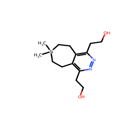 C[Si]1(C)CCc2c(CCO)nnc(CCO)c2CC1